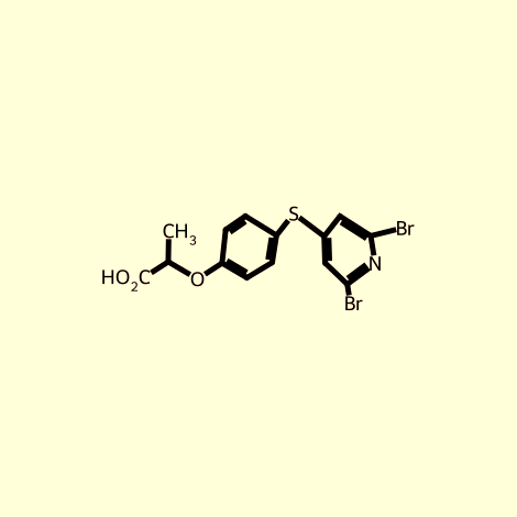 CC(Oc1ccc(Sc2cc(Br)nc(Br)c2)cc1)C(=O)O